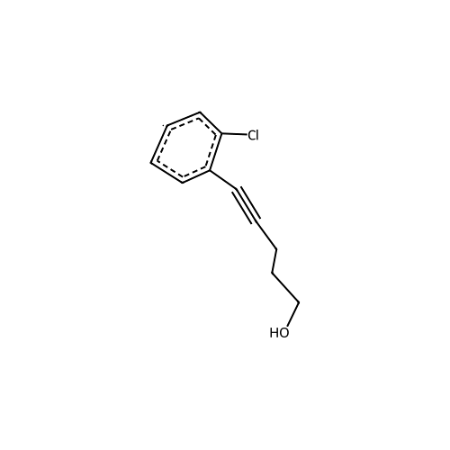 OCCCC#Cc1cc[c]cc1Cl